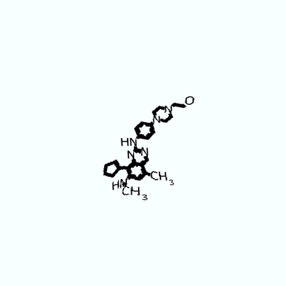 CNc1cc(C)c2cnc(Nc3ccc(N4CCN(CC=O)CC4)cc3)nc2c1C1CCCC1